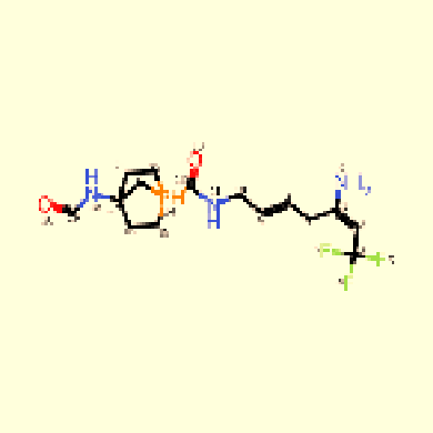 N/C(=C/C(F)(F)F)C/C=C/CNC(=O)[PH]12CCC(NC=O)(CC1)C2